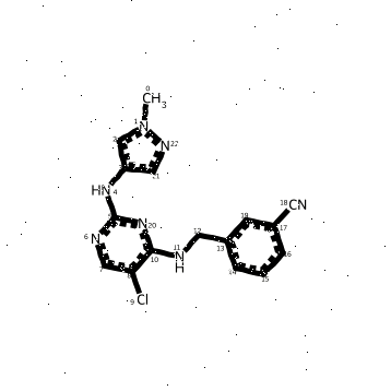 Cn1cc(Nc2ncc(Cl)c(NCc3cccc(C#N)c3)n2)cn1